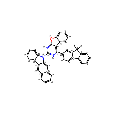 CC1(C)c2ccccc2-c2ccc(-c3nc(-n4c5ccccc5c5cc6ccccc6cc54)nc4oc5ccccc5c34)cc21